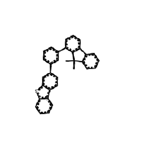 CC1(C)c2ccccc2-c2cccc(-c3cccc(-c4ccc5c(c4)sc4ccccc45)c3)c21